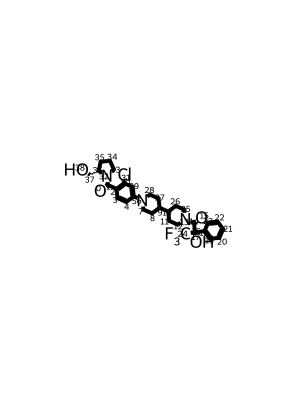 O=C(c1ccc(N2CCC(C3CCN(C(=O)C(O)(c4ccccc4)C(F)(F)F)CC3)CC2)cc1Cl)N1CCC[C@H]1CO